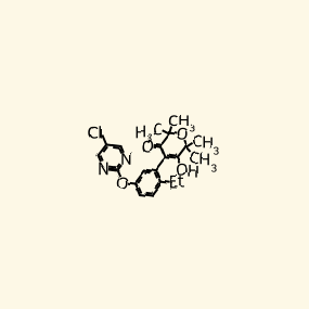 CCc1ccc(Oc2ncc(Cl)cn2)cc1C1=C(O)C(C)(C)OC(C)(C)C1=O